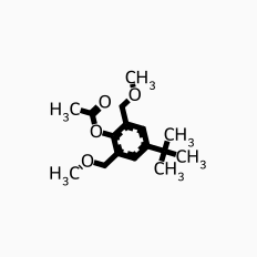 COCc1cc(C(C)(C)C)cc(COC)c1OC(C)=O